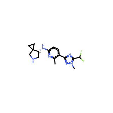 Cc1nc(N[C@@H]2CNCC23CC3)ccc1-c1nc(C(F)F)n(C)n1